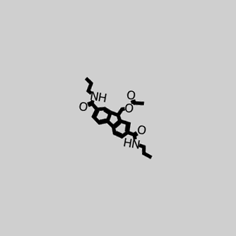 CCCNC(=O)c1ccc2c(c1)C(COC(C)=O)c1cc(C(=O)NCCC)ccc1-2